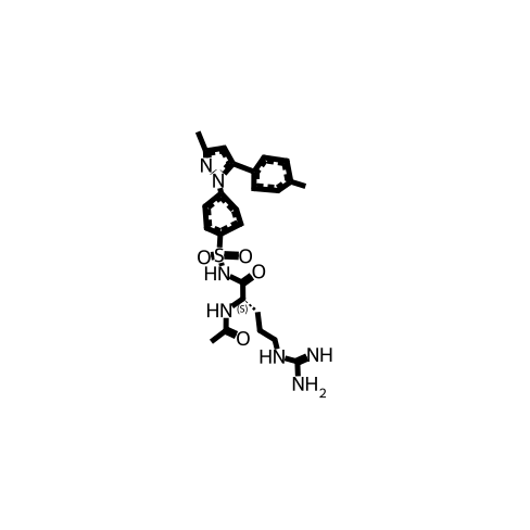 CC(=O)N[C@@H](CCCNC(=N)N)C(=O)NS(=O)(=O)c1ccc(-n2nc(C)cc2-c2ccc(C)cc2)cc1